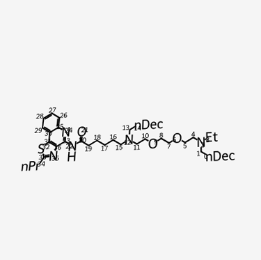 CCCCCCCCCCCN(CC)CCOCCOCCN(CCCCCCCCCCC)CCCCCC(=O)Nc1nc2ccccc2c2sc(CCC)nc12